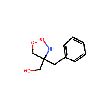 OCC(CO)(Cc1ccccc1)NO